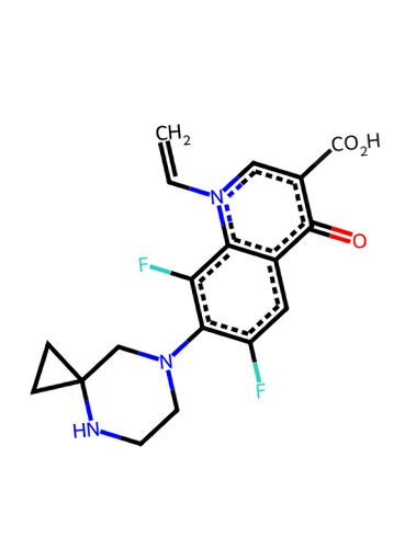 C=Cn1cc(C(=O)O)c(=O)c2cc(F)c(N3CCNC4(CC4)C3)c(F)c21